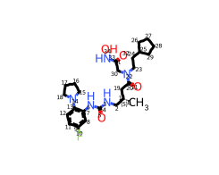 C[C@H](CNC(=O)Nc1cc(F)ccc1N1CCCC1)CC(=O)N(CCC1CCCC1)CC(=O)NO